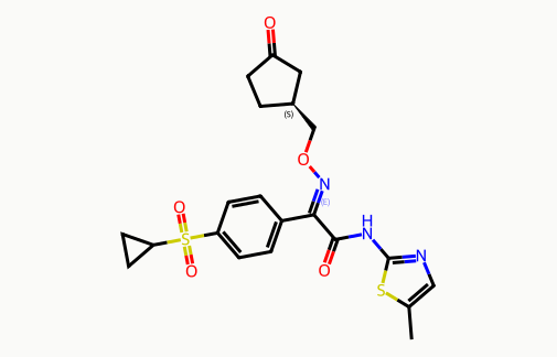 Cc1cnc(NC(=O)/C(=N/OC[C@H]2CCC(=O)C2)c2ccc(S(=O)(=O)C3CC3)cc2)s1